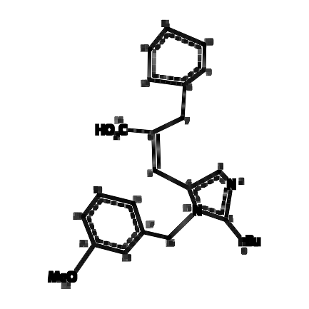 CCCCc1ncc(/C=C(\Cc2ccccc2)C(=O)O)n1Cc1cccc(OC)c1